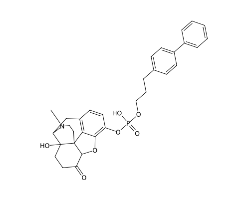 CN1CCC23c4c5ccc(OP(=O)(O)OCCCc6ccc(-c7ccccc7)cc6)c4OC2C(=O)CCC3(O)C1C5